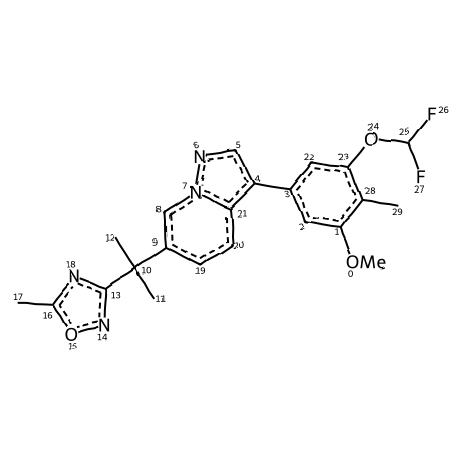 COc1cc(-c2cnn3cc(C(C)(C)c4noc(C)n4)ccc23)cc(OC(F)F)c1C